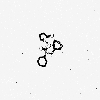 O=C1CCCN1OC(=O)N(Cc1ccccc1)C1CCCCC1